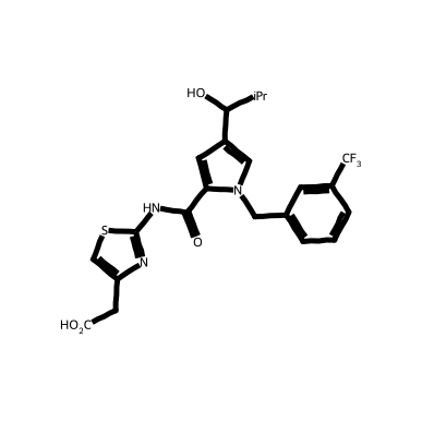 CC(C)C(O)c1cc(C(=O)Nc2nc(CC(=O)O)cs2)n(Cc2cccc(C(F)(F)F)c2)c1